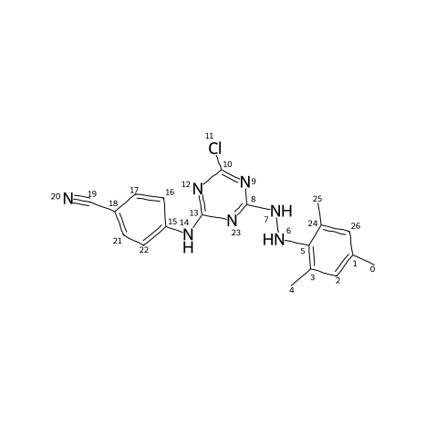 Cc1cc(C)c(NNc2nc(Cl)nc(Nc3ccc(C#N)cc3)n2)c(C)c1